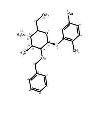 CC(=O)OCC1O[C@@H](Sc2cc(C(C)(C)C)ccc2C)C(OCc2ccccc2)[C@@H](C)[C@@H]1C